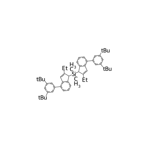 CCC1=Cc2c(-c3cc(C(C)(C)C)cc(C(C)(C)C)c3)cccc2C1[Si](C)(C)C1C(CC)=Cc2c(-c3cc(C(C)(C)C)cc(C(C)(C)C)c3)cccc21